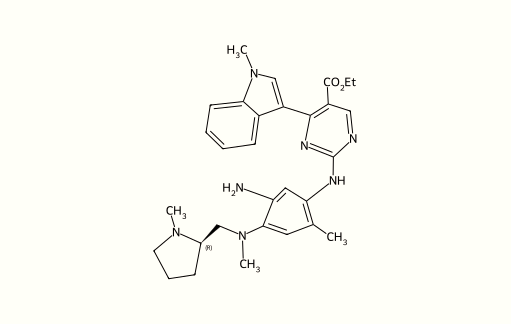 CCOC(=O)c1cnc(Nc2cc(N)c(N(C)C[C@H]3CCCN3C)cc2C)nc1-c1cn(C)c2ccccc12